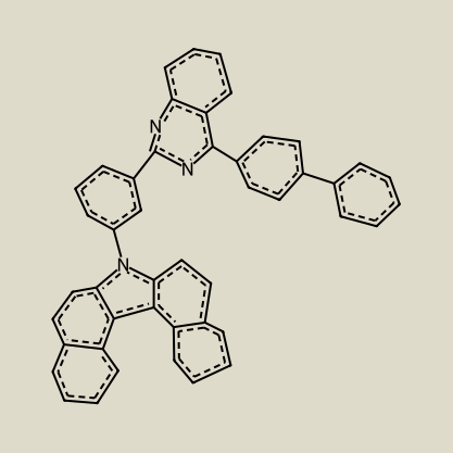 c1ccc(-c2ccc(-c3nc(-c4cccc(-n5c6ccc7ccccc7c6c6c7ccccc7ccc65)c4)nc4ccccc34)cc2)cc1